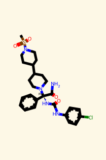 CS(=O)(=O)N1CCC(C2CCN([C@@](NC(=O)Nc3ccc(Cl)cc3)(C(N)=O)c3ccccc3)CC2)CC1